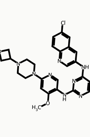 COc1cc(N2CCN(C3COC3)CC2)ncc1Nc1nccc(Nc2cnc3ccc(Cl)cc3c2)n1